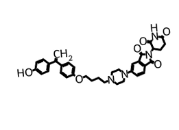 C=C(c1ccc(O)cc1)c1ccc(OCCCCN2CCN(c3ccc4c(c3)C(=O)N(C3CCC(=O)NC3=O)C4=O)CC2)cc1